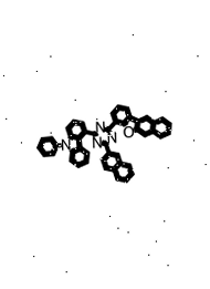 c1ccc(-n2c3ccccc3c3c(-c4nc(-c5ccc6ccccc6c5)nc(-c5cccc6c5oc5cc7ccccc7cc56)n4)cccc32)cc1